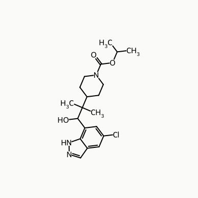 CC(C)OC(=O)N1CCC(C(C)(C)C(O)c2cc(Cl)cc3cn[nH]c23)CC1